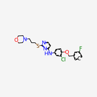 Fc1cccc(COc2ccc(Nc3ccnc(SCCCN4CCOCC4)n3)cc2Cl)c1